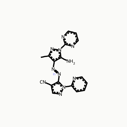 [C-]#[N+]c1cnn(-c2ccccn2)c1/N=N/c1c(C)nn(-c2ncccn2)c1N